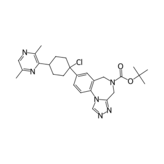 Cc1cnc(C)c(C2CCC(Cl)(c3ccc4c(c3)CN(C(=O)OC(C)(C)C)Cc3nncn3-4)CC2)n1